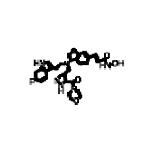 O=C(C=Cc1ccc2c(c1)CCC2N(CCc1c[nH]c2cc(F)ccc12)Cc1cn[nH]c1C(=O)N1CCOCC1)NO